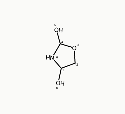 OC1[CH]OC(O)N1